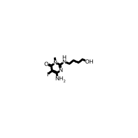 Cn1c(NCCCCO)nc(N)c(I)c1=O